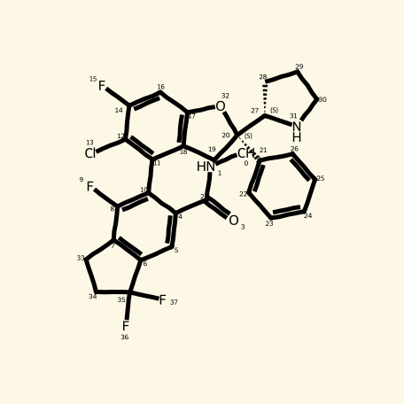 CNC(=O)c1cc2c(c(F)c1-c1c(Cl)c(F)cc3c1C[C@](c1ccccc1)([C@@H]1CCCN1)O3)CCC2(F)F